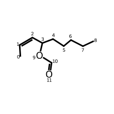 C/C=C\C(CCCCC)OC=O